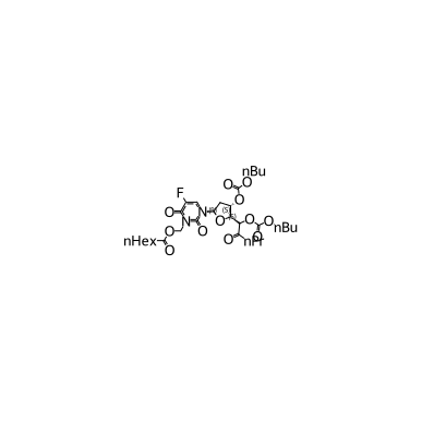 CCCCCCC(=O)OCn1c(=O)c(F)cn([C@H]2C[C@H](OC(=O)OCCCC)[C@@H](C(OC(=O)OCCCC)C(=O)CCC)O2)c1=O